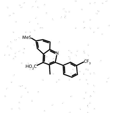 CSc1ccc2nc(-c3cccc(C(F)(F)F)c3)c(C)c(C(=O)O)c2c1